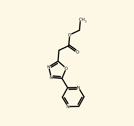 CCOC(=O)Cc1nnc(-c2cnccn2)o1